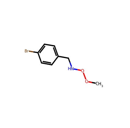 COONCc1ccc(Br)cc1